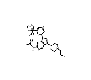 CCCN1CCC(c2cn(-c3cc(C)cc([C@]4(OC)CCOC4)n3)c3cc(NC(C)=O)ncc23)CC1